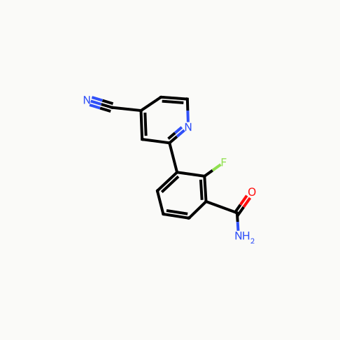 N#Cc1ccnc(-c2cccc(C(N)=O)c2F)c1